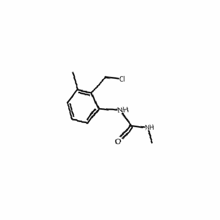 CNC(=O)Nc1cccc(C)c1CCl